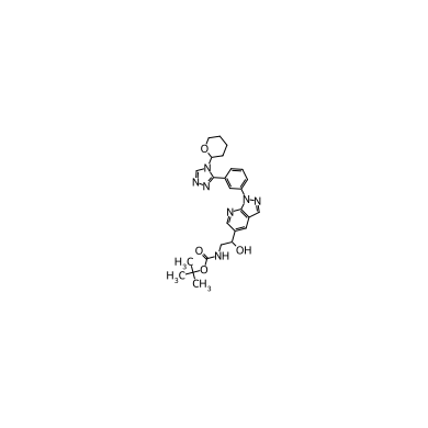 CC(C)(C)OC(=O)NCC(O)c1cnc2c(cnn2-c2cccc(-c3nncn3C3CCCCO3)c2)c1